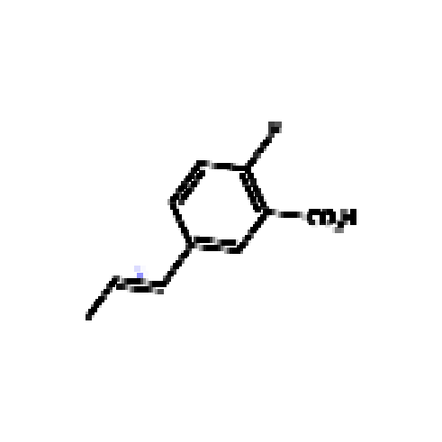 C/C=C/c1ccc(F)c(C(=O)O)c1